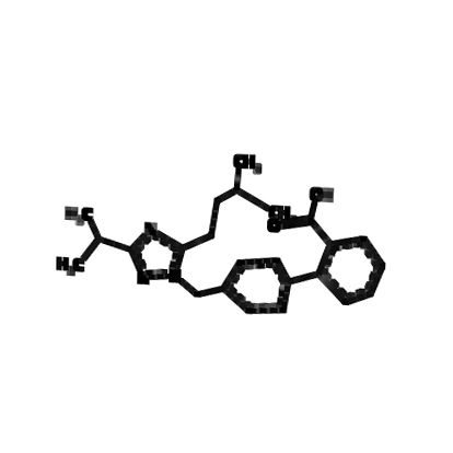 CC(C)CCc1nc(C(C)C)nn1Cc1ccc(-c2ccccc2C(=O)O)cc1